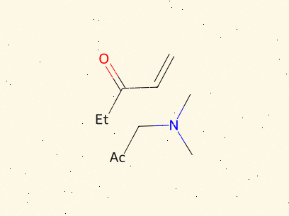 C=CC(=O)CC.CC(=O)CN(C)C